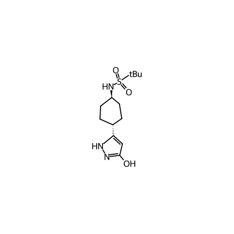 CC(C)(C)S(=O)(=O)N[C@H]1CC[C@H](c2cc(O)n[nH]2)CC1